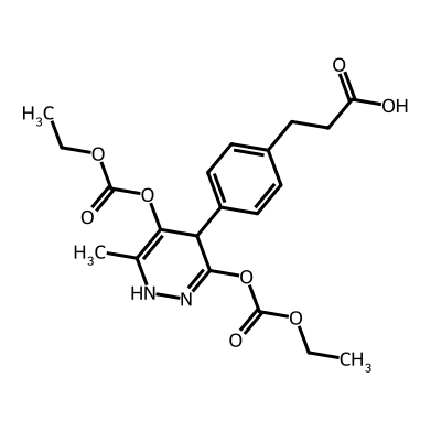 CCOC(=O)OC1=NNC(C)=C(OC(=O)OCC)C1c1ccc(CCC(=O)O)cc1